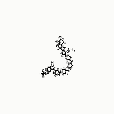 COc1c(N2CCC(CN3CCN(CC4CCN(c5cc(-c6n[nH]c7cnc(OC8(C)CC8)cc67)ncn5)CC4)CC3)CC2)ccc2c1CN(C1CCC(=O)NC1=O)C2=O